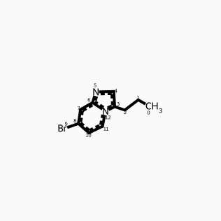 CCCc1cnc2cc(Br)ccn12